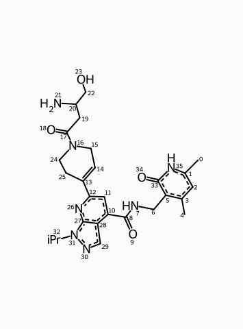 Cc1cc(C)c(CNC(=O)c2cc(C3=CCN(C(=O)CC(N)CO)CC3)nc3c2cnn3C(C)C)c(=O)[nH]1